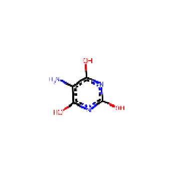 Nc1c(O)nc(O)nc1O